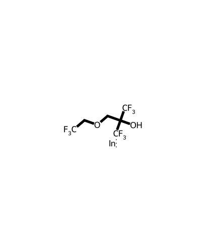 OC(COCC(F)(F)F)(C(F)(F)F)C(F)(F)F.[In]